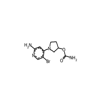 NC(=O)OC1CCN(c2cc(N)ncc2Br)C1